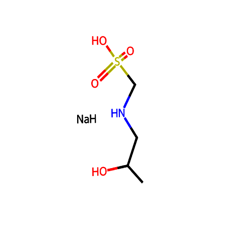 CC(O)CNCS(=O)(=O)O.[NaH]